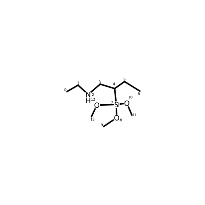 CCNCC(CC)[Si](OC)(OC)OC